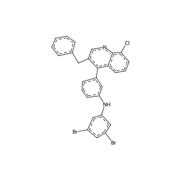 Clc1cccc2c(-c3cccc(Nc4cc(Br)cc(Br)c4)c3)c(Cc3ccccc3)cnc12